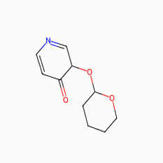 O=C1C=CN=CC1OC1CCCCO1